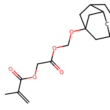 C=C(C)C(=O)OCC(=O)OCOC12CC3CCC(C1)C(C3)C2